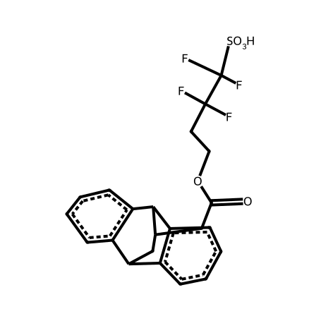 O=C(CC1CC2c3ccccc3C1c1ccccc12)OCCC(F)(F)C(F)(F)S(=O)(=O)O